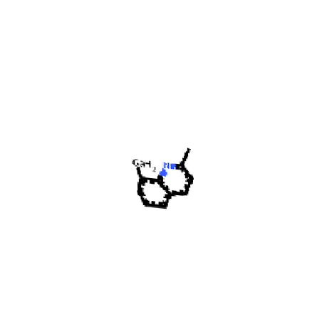 Cc1ccc2ccc[c]([GaH2])c2n1